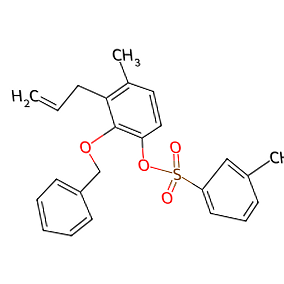 C=CCc1c(C)ccc(OS(=O)(=O)c2cccc(C)c2)c1OCc1ccccc1